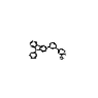 N#Cc1cc(-c2cccc(-c3ccc4c(c3)c3ccccc3n4-c3ccccc3)c2)ccn1